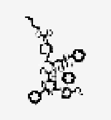 CCCCOC(=O)N1CCN(C(=O)C(CP(=O)(Oc2ccccc2)Oc2ccccc2)NC(=O)c2cc(N3CCC(OC)C3)nc(-c3ccccc3)n2)CC1